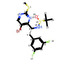 CSc1ncc(Br)c([C@@H](Cc2cc(F)cc(F)c2)N[S@@+]([O-])C(C)(C)C)n1